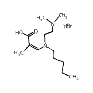 Br.CCCCCN(C=C(C)C(=O)O)CCN(C)C